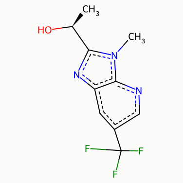 C[C@H](O)c1nc2cc(C(F)(F)F)cnc2n1C